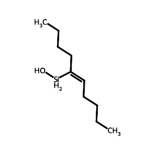 CCCCC=C(CCCC)[SiH2]O